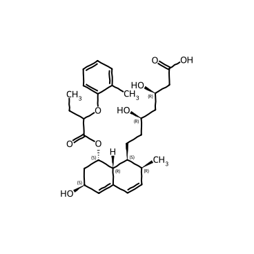 CCC(Oc1ccccc1C)C(=O)O[C@H]1C[C@H](O)C=C2C=C[C@H](C)[C@H](CC[C@@H](O)C[C@@H](O)CC(=O)O)[C@H]21